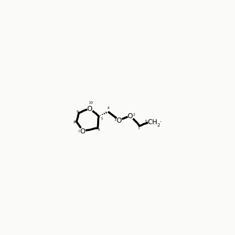 [CH2]COOC[C@@H]1COCCO1